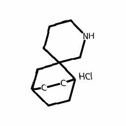 C1CNCC2(C1)CC1CCC2CC1.Cl